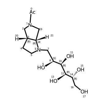 CC(=O)N1C[C@H]2CCN(C[C@H](O)[C@@H](O)[C@H](O)[C@H](O)CO)[C@H]2C1